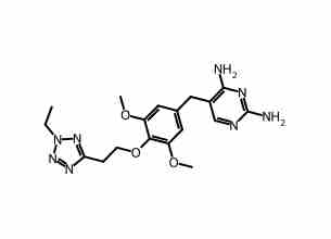 CCn1nnc(CCOc2c(OC)cc(Cc3cnc(N)nc3N)cc2OC)n1